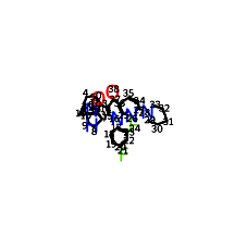 O=C(NC12CC3CC4CCC1(C2)C4C3)c1cn(-c2ccc(F)cc2F)c2nc(N3CCCCC3)ccc2c1=O